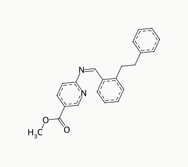 COC(=O)c1ccc(/N=C\c2ccccc2CCc2ccccc2)nc1